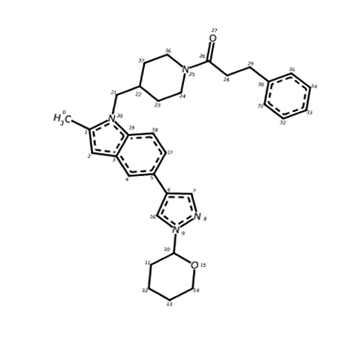 Cc1cc2cc(-c3cnn(C4CCCCO4)c3)ccc2n1CC1CCN(C(=O)CCc2ccccc2)CC1